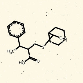 CC(c1ccccc1)C(CSC1CN2CCC1CC2)C(=O)O